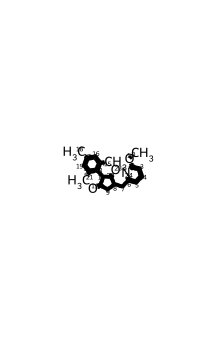 COc1cccc(CC2CC(=O)C(c3c(C)cc(C)cc3C)C2=O)n1